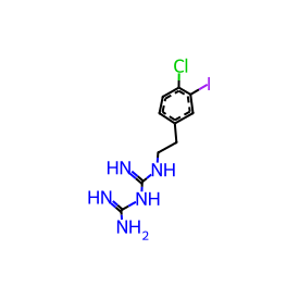 N=C(N)NC(=N)NCCc1ccc(Cl)c(I)c1